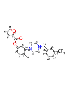 Cc1ccc(OC(=O)c2ccco2)cc1N1CCN(Cc2cccc(C(F)(F)F)c2)CC1